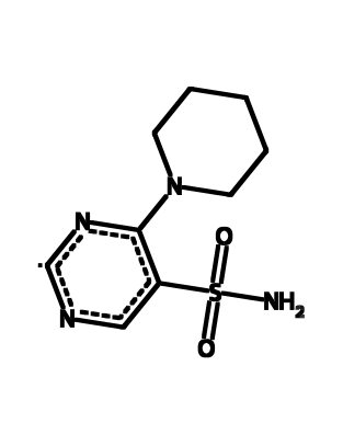 NS(=O)(=O)c1cn[c]nc1N1CCCCC1